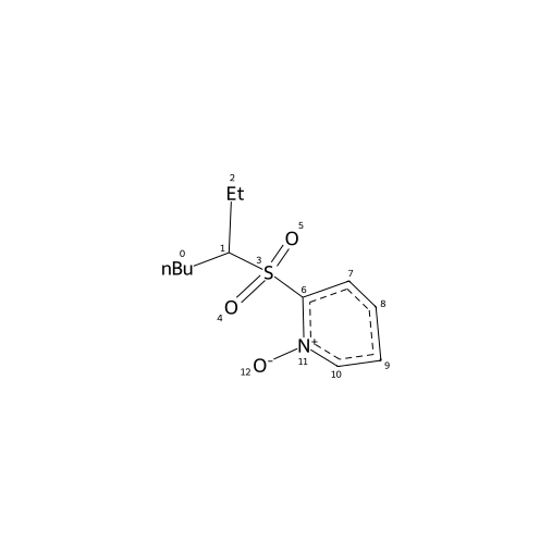 CCCCC(CC)S(=O)(=O)c1cccc[n+]1[O-]